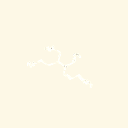 C=C/C=C\N(C=C)C(CC)CCC